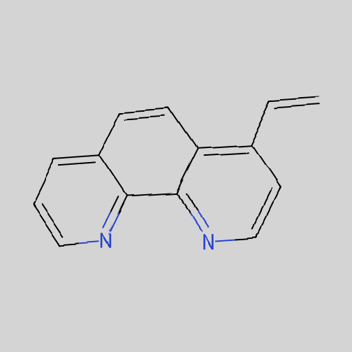 C=Cc1ccnc2c1ccc1cccnc12